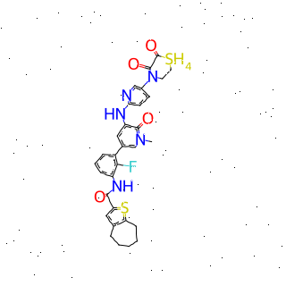 Cn1cc(-c2cccc(NC(=O)c3cc4c(s3)CCCCC4)c2F)cc(Nc2ccc(N3CC[SH4]C(=O)C3=O)cn2)c1=O